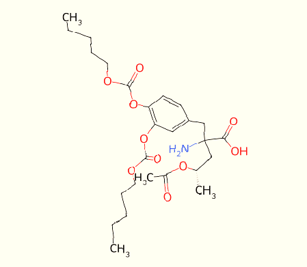 CCCCCOC(=O)Oc1ccc(CC(N)(C[C@H](C)OC(C)=O)C(=O)O)cc1OC(=O)OCCCCC